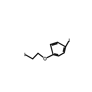 ICCOc1ccc(I)cc1